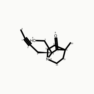 CC#CC[C@@]1(CO)C(=O)C2(C)CCN1CC2